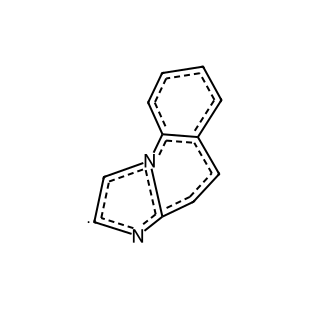 [c]1cn2c(ccc3ccccc32)n1